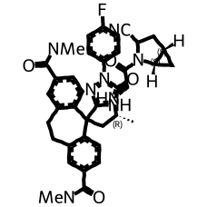 CNC(=O)c1ccc2c(c1)CCc1cc(C(=O)NC)ccc1C2(C[C@@H](C)NCC(=O)N1C(C#N)C[C@@H]2C[C@@H]21)c1nn(-c2ccc(F)cc2)c(=O)[nH]1